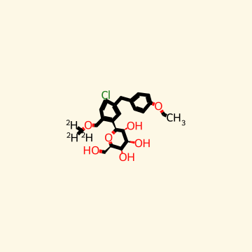 [2H]C([2H])([2H])OCc1cc(Cl)c(Cc2ccc(OCC)cc2)cc1[C@@H]1O[C@H](CO)[C@@H](O)[C@H](O)[C@H]1O